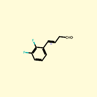 O=[C]C/C=C/c1cccc(F)c1F